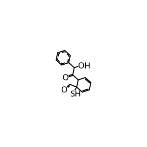 O=CC1(S)C=CC=CC1C(=O)C(O)c1ccccc1